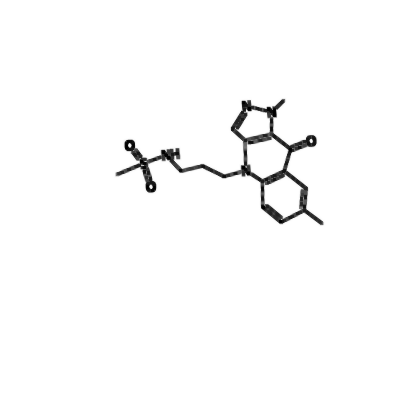 Cc1ccc2c(c1)c(=O)c1c(cnn1C)n2CCCNS(C)(=O)=O